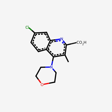 Cc1c(C(=O)O)nc2cc(Cl)ccc2c1N1CCOCC1